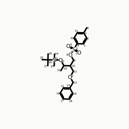 Cc1ccc(S(=O)(=O)OCC(COCc2ccccc2)C(C)O[Si](C)(C)C(C)(C)C)cc1